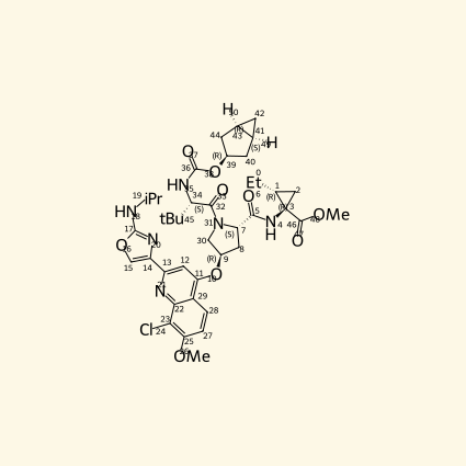 CC[C@@H]1C[C@]1(NC(=O)[C@@H]1C[C@@H](Oc2cc(-c3coc(NC(C)C)n3)nc3c(Cl)c(OC)ccc23)CN1C(=O)[C@@H](NC(=O)O[C@@H]1C[C@@H]2C[C@@H]2C1)C(C)(C)C)C(=O)OC